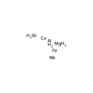 [AlH3].[Cu].[Fe].[MgH2].[Nb].[SbH3]